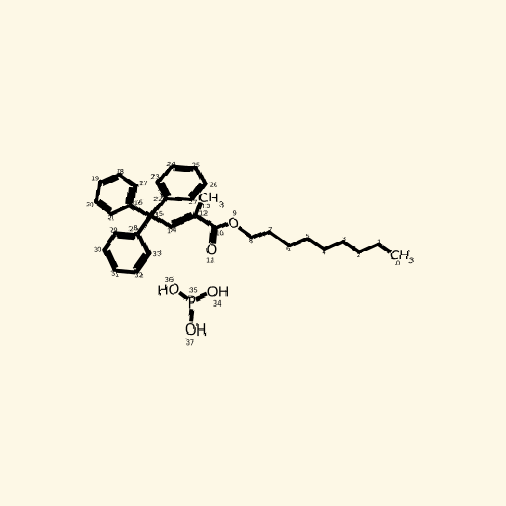 CCCCCCCCCOC(=O)C(C)=CC(c1ccccc1)(c1ccccc1)c1ccccc1.OP(O)O